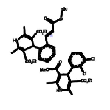 CCOC(=O)C1=C(C)NC(C)=C(C(=O)OC)C1c1cccc(Cl)c1Cl.CCOC(=O)C1=C(C)NC(C)=C(C(=O)OCC)C1c1ccccc1/C=C/C(=O)OC(C)(C)C